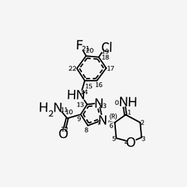 N=C1CCOC[C@@H]1n1cc(C(N)=O)c(Nc2ccc(Cl)c(F)c2)n1